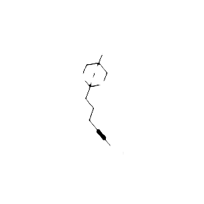 CC#CCCCC12OCC(C)(CO1)CO2